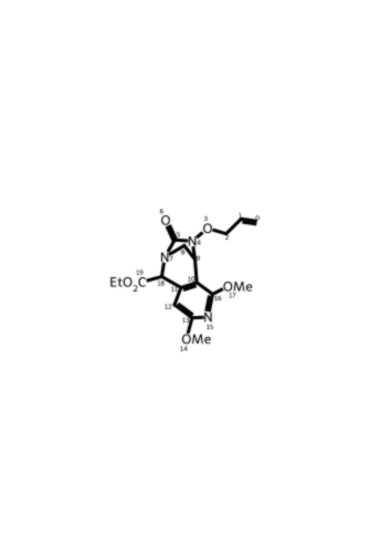 C=CCON1C(=O)N2CC1c1c(cc(OC)nc1OC)C2C(=O)OCC